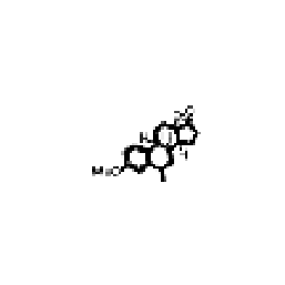 CC[C@]12CC[C@@H]3c4ccc(OC)cc4C(C)C[C@H]3[C@@H]1CCC2=O